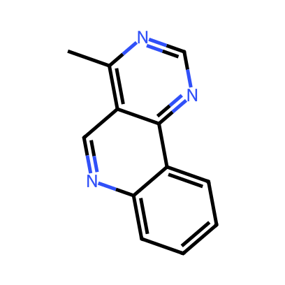 Cc1ncnc2c1cnc1ccccc12